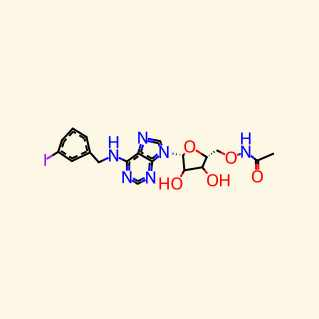 CC(=O)NOC[C@H]1O[C@@H](n2cnc3c(NCc4cccc(I)c4)ncnc32)C(O)C1O